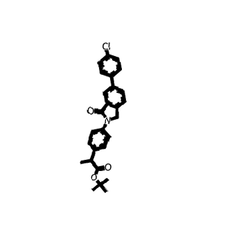 CC(C(=O)OC(C)(C)C)c1ccc(N2Cc3ccc(-c4ccc(Cl)cc4)cc3C2=O)cc1